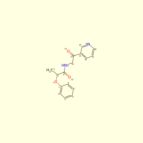 CC(Oc1ccccc1)C(=O)NCC(=O)c1cccnc1